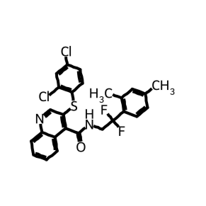 Cc1ccc(C(F)(F)CNC(=O)c2c(Sc3ccc(Cl)cc3Cl)cnc3ccccc23)c(C)c1